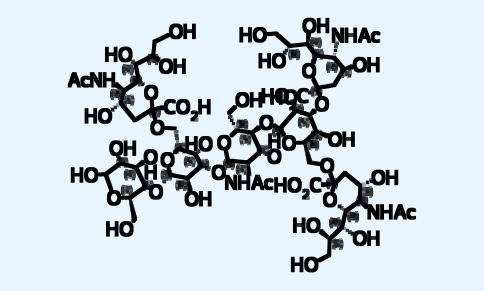 CC(=O)N[C@H]1[C@H](O[C@H]2[C@@H](O)[C@@H](CO[C@]3(C(=O)O)C[C@H](O)[C@@H](NC(C)=O)[C@H]([C@H](O)[C@H](O)CO)O3)O[C@@H](O[C@H]3[C@H](O)[C@@H](O)C(O)O[C@@H]3CO)[C@@H]2O)O[C@H](CO)[C@@H](O[C@@H]2O[C@H](CO[C@]3(C(=O)O)C[C@H](O)[C@@H](NC(C)=O)[C@H]([C@H](O)[C@H](O)CO)O3)[C@H](O)[C@H](O[C@]3(C(=O)O)C[C@H](O)[C@@H](NC(C)=O)[C@H]([C@H](O)[C@H](O)CO)O3)[C@H]2O)[C@@H]1O